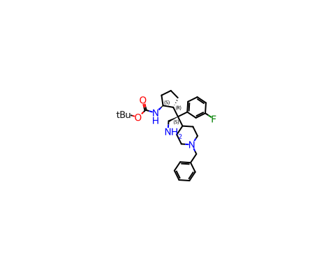 CC(C)(C)OC(=O)N[C@H]1CCC[C@@H]1[C@](CN)(c1cccc(F)c1)C1CCN(Cc2ccccc2)CC1